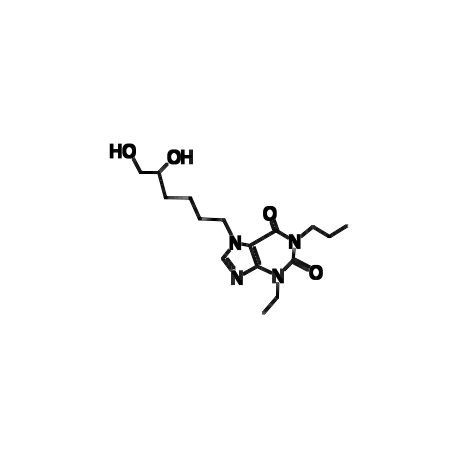 CCCn1c(=O)c2c(ncn2CCCCC(O)CO)n(CC)c1=O